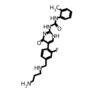 Cc1ccccc1NC(=O)Nc1nc(=O)c(-c2ccc(CNCCCN)cc2F)c[nH]1